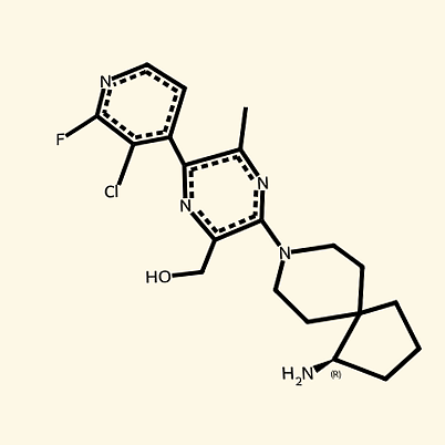 Cc1nc(N2CCC3(CCC[C@H]3N)CC2)c(CO)nc1-c1ccnc(F)c1Cl